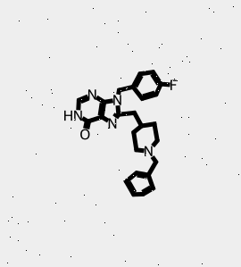 O=c1[nH]cnc2c1nc(CC1CCN(Cc3ccccc3)CC1)n2Cc1ccc(F)cc1